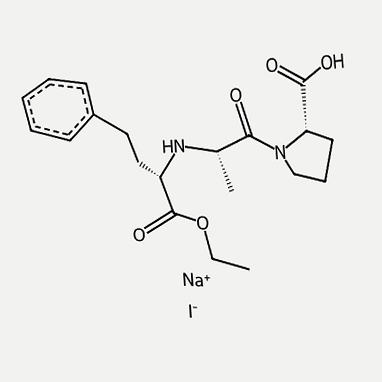 CCOC(=O)[C@H](CCc1ccccc1)N[C@@H](C)C(=O)N1CCC[C@H]1C(=O)O.[I-].[Na+]